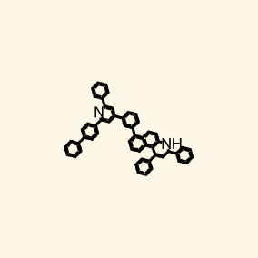 C1=C(c2ccccc2)c2c(ccc3c(-c4cccc(-c5cc(-c6ccccc6)nc(-c6ccc(-c7ccccc7)cc6)c5)c4)cccc23)NC1c1ccccc1